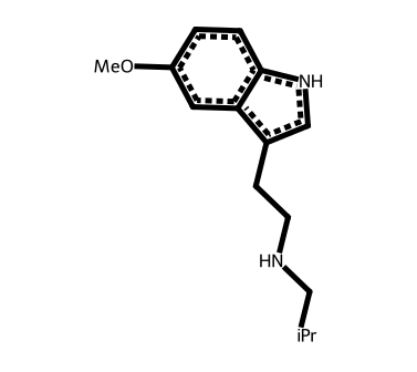 COc1ccc2[nH]cc(CCNCC(C)C)c2c1